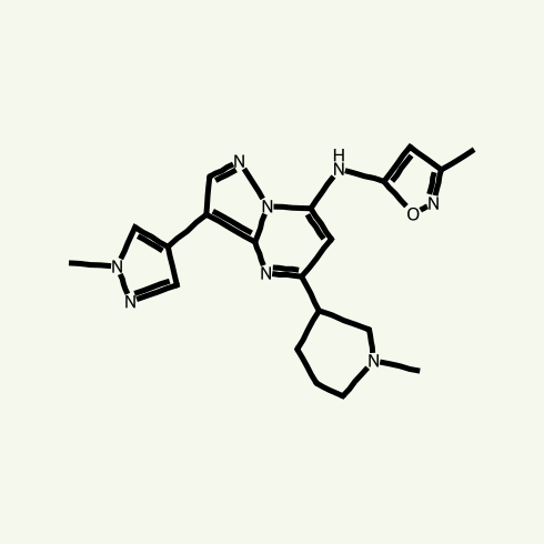 Cc1cc(Nc2cc(C3CCCN(C)C3)nc3c(-c4cnn(C)c4)cnn23)on1